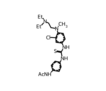 CCN(CC)CCN(C)c1ccc(NC(=S)Nc2ccc(NC(C)=O)cc2)cc1Cl